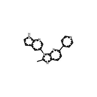 Cc1nc2ccc(-c3ccncc3)nc2n1-c1cnc2[nH]ccc2c1